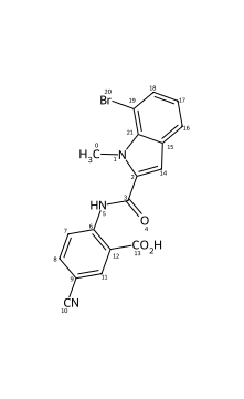 Cn1c(C(=O)Nc2ccc(C#N)cc2C(=O)O)cc2cccc(Br)c21